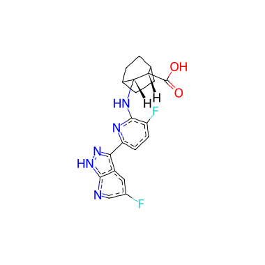 O=C(O)[C@H]1C2CCC(CC2)[C@H]1Nc1nc(-c2n[nH]c3ncc(F)cc23)ccc1F